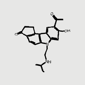 CC(=O)c1cc2c3c4c(ccc3n(CCNC(C)C)c2cc1O)C(=O)CC4